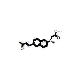 CC(=O)/C=C/c1ccc2cc(N(C)CC(=O)O)ccc2c1